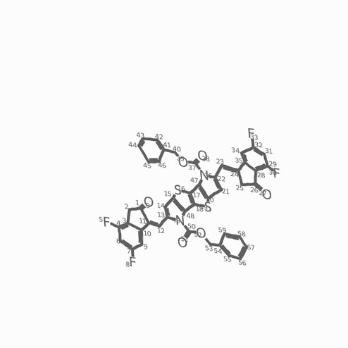 O=C1Cc2c(F)cc(F)cc2/C1=C/c1cc2sc3c(sc4cc(/C=C5\CC(=O)c6c(F)cc(F)cc65)n(C(=O)OCc5ccccc5)c43)c2n1C(=O)OCc1ccccc1